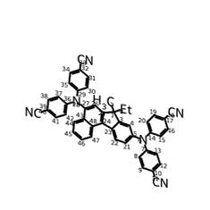 CCC1(C)c2cc(N(c3ccc(C#N)cc3)c3ccc(C#N)cc3)ccc2-c2c1cc(N(c1ccc(C#N)cc1)c1ccc(C#N)cc1)c1ccccc21